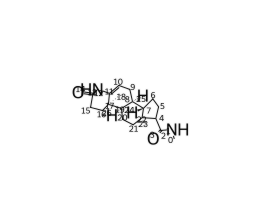 CNC(=O)C1CC[C@H]2[C@@H]3CC=C4NC(=O)CC[C@]4(C)[C@@H]3CC[C@]12C